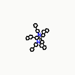 c1ccc(-c2ccc(N3c4cc(-c5ccc6ccccc6c5)cc5c4B(c4ccc6c(ccc7ccccc76)c43)c3ccc4c(ccc6ccccc64)c3N5c3ccc(-c4ccccc4)cc3)cc2)cc1